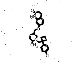 CC1CCC(COc2ccc3c(c2)NC(=O)CC3)CN1CC1(c2ccc(Cl)cc2)CCC1